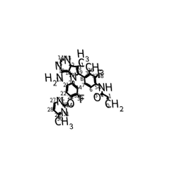 C=CC(=O)Nc1ccc(-c2c(C)c3ncnc(N)c3n2-c2ccc(Oc3nccc(C)n3)c(F)c2)c(C)c1F